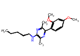 CCCCCNc1nc(C)c(-c2ccc(OC)cc2OC)nc1C